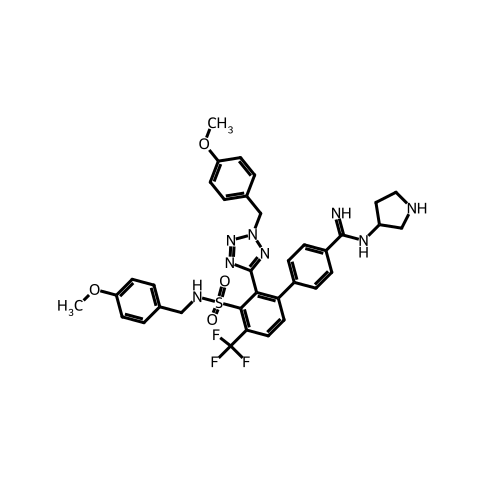 COc1ccc(CNS(=O)(=O)c2c(C(F)(F)F)ccc(-c3ccc(C(=N)NC4CCNC4)cc3)c2-c2nnn(Cc3ccc(OC)cc3)n2)cc1